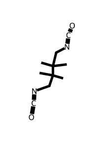 CC(C)(CN=C=O)C(C)(C)CN=C=O